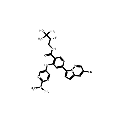 CN(C)c1ncc(Nc2cc(-c3ccc4cc(C#N)cnn34)ncc2C(=O)NC[C@@H](F)C(C)(C)O)cn1